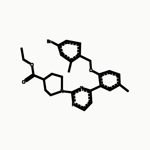 CCOC(=O)C1CCN(c2nccc(-c3cc(C)ccc3OCc3ccc(Br)cc3C)n2)CC1